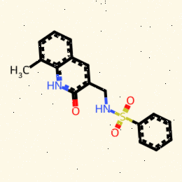 Cc1cccc2cc(CNS(=O)(=O)c3ccccc3)c(=O)[nH]c12